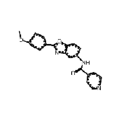 COc1ccc(-c2nc3cc(NC(=O)c4ccncc4)ccc3o2)cc1